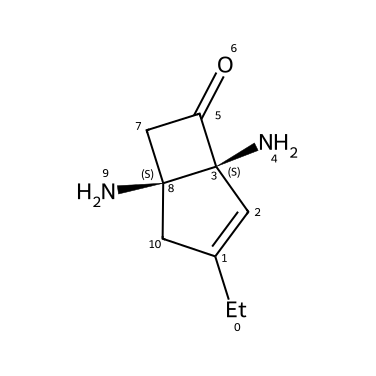 CCC1=C[C@@]2(N)C(=O)C[C@@]2(N)C1